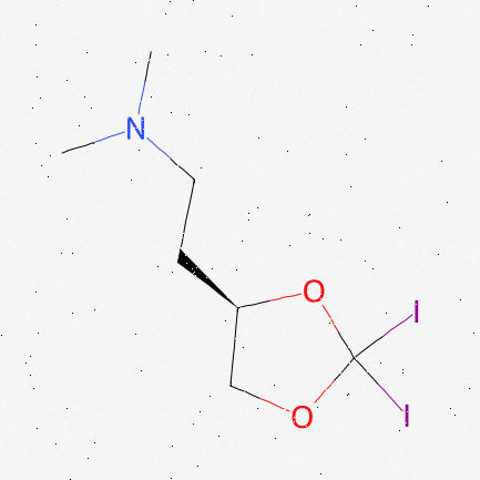 CN(C)CC[C@@H]1COC(I)(I)O1